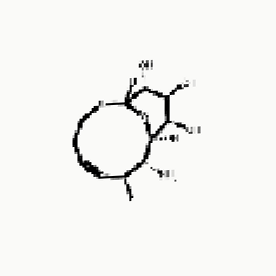 C[C@H]1C=CCCS[C@H]2O[C@H]([C@@H]1N)[C@H](O)[C@H](O)[C@H]2O